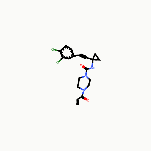 C=CC(=O)N1CCN(C(=O)NC2(C#Cc3ccc(Cl)c(Cl)c3)CC2)CC1